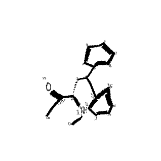 CN[C@@H](CC(c1ccccc1)c1ccccc1)C(C)=O